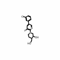 OCC1CCN(c2ncc(-c3cccc(Cl)c3)cc2F)CC1O